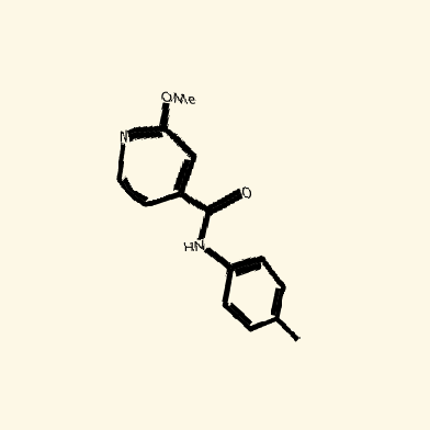 COc1cc(C(=O)Nc2ccc(C)cc2)ccn1